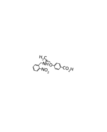 C[C@@H](COc1ccc(C(=O)O)cc1)NCc1ccccc1[N+](=O)[O-]